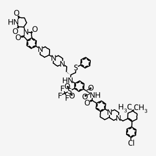 CC1(C)CCC(c2ccc(Cl)cc2)=C(CN2CCN3c4ccc(C(=O)NS(=O)(=O)c5ccc(N[C@H](CCN6CCN(C7CCN(c8ccc9c(c8)C(=O)N(C8CCC(=O)NC8=O)C9=O)CC7)CC6)CSc6ccccc6)c(S(=O)(=O)C(F)(F)F)c5)cc4CCC3C2)C1